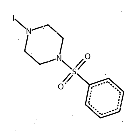 O=S(=O)(c1ccccc1)N1CCN(I)CC1